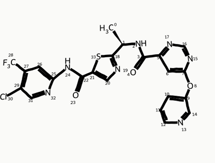 C[C@@H](NC(=O)c1cc(Oc2cccnc2)ncn1)c1ncc(C(=O)Nc2cc(C(F)(F)F)c(Cl)cn2)s1